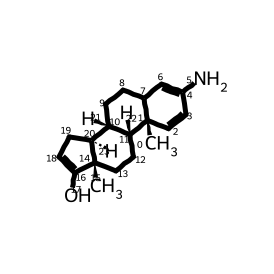 C[C@]12C=CC(N)=CC1CC[C@@H]1[C@H]2CC[C@]2(C)C(O)=CC[C@@H]12